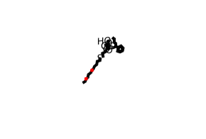 CCCCCCCCCCCCSCCCOP(=O)(SCC(CCCC)c1ccccc1)C(=O)OO